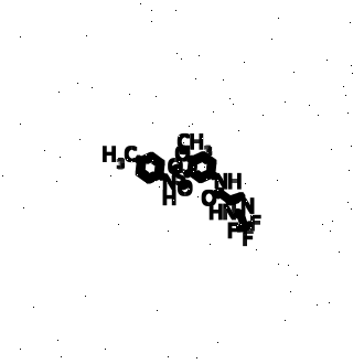 COc1ccc(NC(=O)c2cnc(C(F)(F)F)[nH]2)cc1S(=O)(=O)Nc1ccc(C)cc1